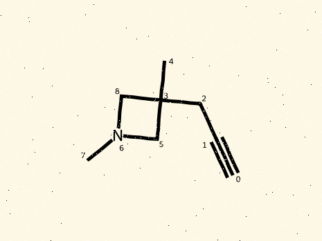 C#CCC1(C)CN(C)C1